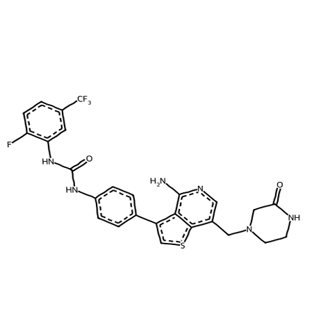 Nc1ncc(CN2CCNC(=O)C2)c2scc(-c3ccc(NC(=O)Nc4cc(C(F)(F)F)ccc4F)cc3)c12